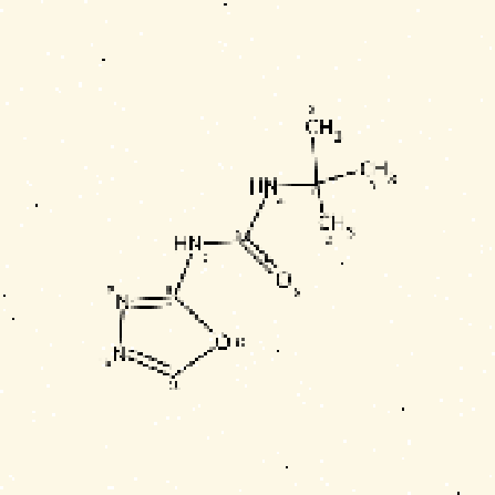 CC(C)(C)NC(=O)Nc1nnco1